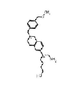 COCc1ccc(C[C@@H]2CCc3cc([C@H](CN)CCCCO)ccc3C2)cc1